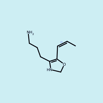 C/C=C\C1=C(CCCN)NCO1